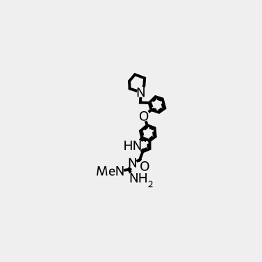 CNC(N)=NC(=O)c1cc2ccc(Oc3ccccc3CN3CCCCC3)cc2[nH]1